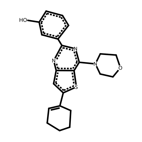 Oc1cccc(-c2nc(N3CCOCC3)c3sc(C4=CCCCC4)cc3n2)c1